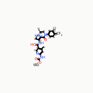 Cc1cc(NC(=O)OC(C)(C)C)ncc1C(O)Nc1cnn2c1C(=O)N(c1ccc(C(F)(F)F)c(Cl)c1)C[C@@H]2C